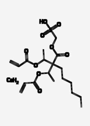 C=CC(=O)OC(C)C(CCCCCC)(C(=O)OCS(=O)(=O)O)C(C)OC(=O)C=C.[CaH2]